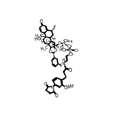 COc1cc(N2C(=O)CCC2=O)ccc1CCC(=O)NCCOP(=O)(O)OP(=O)(O)OCC(=O)[C@@]12O[C@H](c3cccc(F)c3)O[C@@H]1C[C@@]1(C)[C@@H]3C[C@H](F)C4=CC(=O)C=C[C@]4(C)[C@@]3(F)[C@@H](O)C[C@@]12C